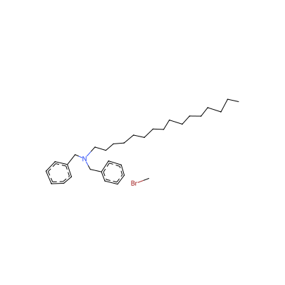 CBr.CCCCCCCCCCCCCCCCN(Cc1ccccc1)Cc1ccccc1